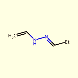 C=CNN=CCC